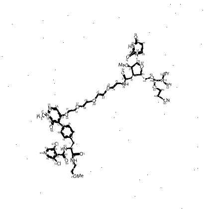 COCCNC(=O)[C@H](Cc1ccc(-c2c(OCCOCCOCCOCCNC(=O)C[C@H]3[C@@H](OC)[C@H](n4ccc(=O)[nH]c4=O)O[C@@H]3COP(OCCC#N)N(C(C)C)C(C)C)cnn(C)c2=O)cc1)NC(=O)c1c(Cl)cncc1Cl